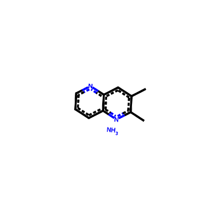 Cc1cc2ncccc2nc1C.N